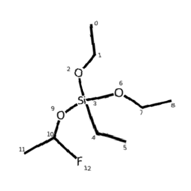 CCO[Si](CC)(OCC)OC(C)F